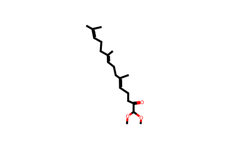 COC(OC)C(=O)CC/C=C(\C)CC/C=C(\C)CCC=C(C)C